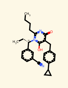 CCCCc1nc(=O)c(Cc2ccc(C3CC3)cc2)c(O)n1[C@@H](CC)c1cccc(C#N)c1